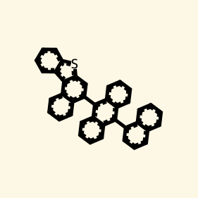 c1ccc2c(-c3c4ccccc4c(-c4cc5sc6ccccc6c5c5ccccc45)c4ccccc34)cccc2c1